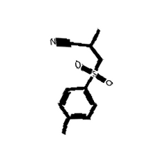 Cc1ccc(S(=O)(=O)CC(C)C#N)cc1